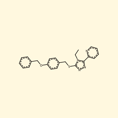 CCn1c(SCc2ccc(OCc3ccccc3)cc2)nnc1-c1ccccn1